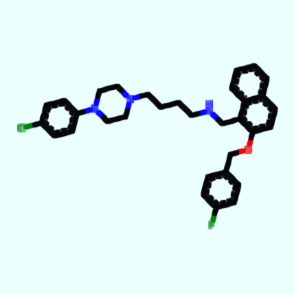 Fc1ccc(COc2ccc3ccccc3c2CNCCCCN2CCN(c3ccc(Cl)cc3)CC2)cc1